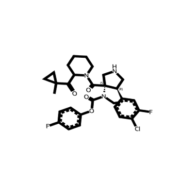 CCN(C(=O)Oc1ccc(F)cc1)[C@]1(C(=O)N2CCCCC2C(=O)C2(C)CC2)CNC[C@H]1c1ccc(Cl)c(F)c1